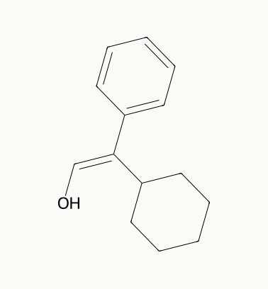 O/C=C(/c1ccccc1)C1CCCCC1